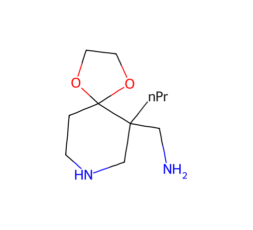 CCCC1(CN)CNCCC12OCCO2